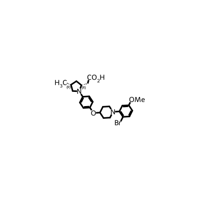 COc1ccc(Br)c(N2CCC(Oc3ccc(N4C[C@H](C)C[C@@H]4CC(=O)O)cc3)CC2)c1